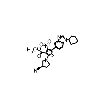 COC(=O)c1c(N2CCC(C#N)C2)sc(-c2ccc3c(c2)ncn3C2CCCCC2)c1[N+](=O)[O-]